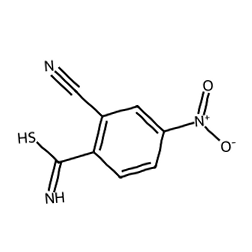 N#Cc1cc([N+](=O)[O-])ccc1C(=N)S